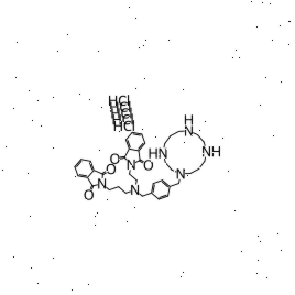 Cl.Cl.Cl.Cl.Cl.O=C1c2ccccc2C(=O)N1CCCN(CCN1C(=O)c2ccccc2C1=O)Cc1ccc(CN2CCCNCCNCCCNCC2)cc1